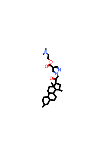 CC1CCC2C(CCC3C2CCC2(C)C(C(=O)CN4CC(C(=O)OCCN(C)C)C=N4)CC(C)C32)C1